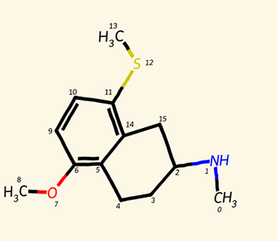 CNC1CCc2c(OC)ccc(SC)c2C1